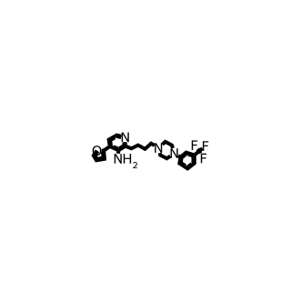 Nc1c(-c2ccco2)ccnc1CCCCN1CCN(c2cccc(C(F)(F)F)c2)CC1